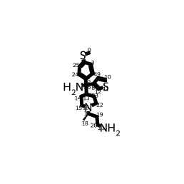 CSc1ccc(C(N)(c2ccsc2)C2CCN([C@H](C)CCN)CC2)cc1